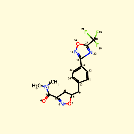 CN(C)C(=O)C1=NOC(Cc2ccc(-c3noc(C(F)(F)F)n3)cc2)C1